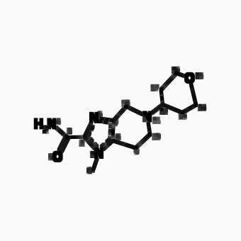 Cn1c(C(N)=O)nc2c1CCN(C1CCOCC1)C2